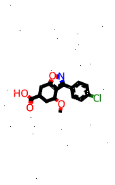 COC1CC(C(=O)O)Cc2onc(-c3ccc(Cl)cc3)c21